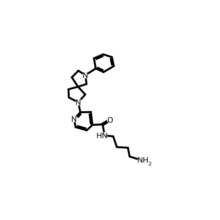 NCCCCNC(=O)c1ccnc(N2CCC3(CCN(c4ccccc4)C3)C2)c1